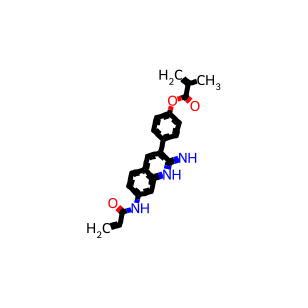 C=CC(=O)Nc1ccc2cc(-c3ccc(OC(=O)C(=C)C)cc3)c(=N)[nH]c2c1